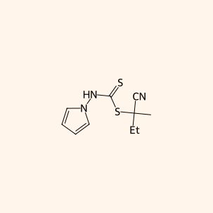 CCC(C)(C#N)SC(=S)Nn1cccc1